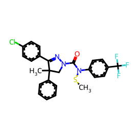 CSN(C(=O)N1CC(C)(c2ccccc2)C(c2ccc(Cl)cc2)=N1)c1ccc(C(F)(F)F)cc1